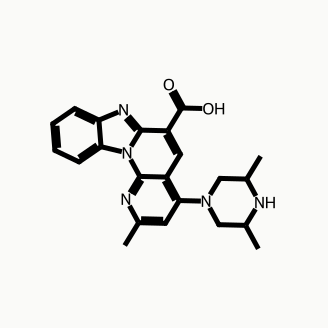 Cc1cc(N2CC(C)NC(C)C2)c2cc(C(=O)O)c3nc4ccccc4n3c2n1